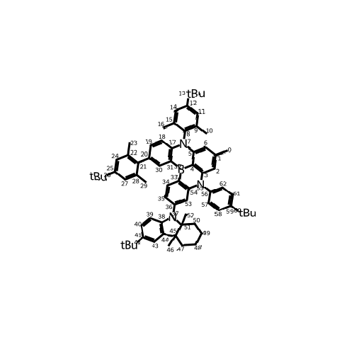 Cc1cc2c3c(c1)N(c1c(C)cc(C(C)(C)C)cc1C)c1ccc(-c4c(C)cc(C(C)(C)C)cc4C)cc1B3c1ccc(N3c4ccc(C(C)(C)C)cc4C4(C)CCCCC34C)cc1N2c1ccc(C(C)(C)C)cc1